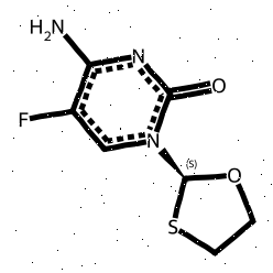 Nc1nc(=O)n([C@H]2OCCS2)cc1F